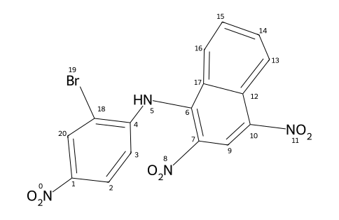 O=[N+]([O-])c1ccc(Nc2c([N+](=O)[O-])cc([N+](=O)[O-])c3ccccc23)c(Br)c1